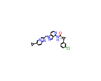 O=C(Nc1nccc2c1cnn2Cc1cn2cc(C3CC3)ccc2n1)[C@H]1CC1c1cccc(Cl)c1